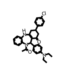 CCN(CC)c1ccc(C2C3=C(CC(c4ccc(Cl)cc4)CC3=O)Nc3ccccc3N2C(C)=O)cc1